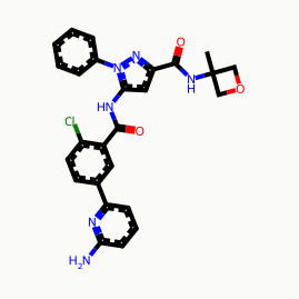 CC1(NC(=O)c2cc(NC(=O)c3cc(-c4cccc(N)n4)ccc3Cl)n(-c3ccccc3)n2)COC1